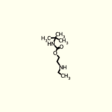 CCNCCOC(=O)NC(C)(C)C